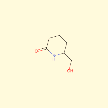 O=C1CCCC(CO)N1